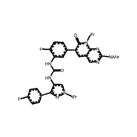 CNc1ncc2cc(-c3ccc(F)c(NC(=O)Nc4cn(C(C)C)nc4-c4ccc(F)cc4)c3)c(=O)n(C(C)C)c2n1